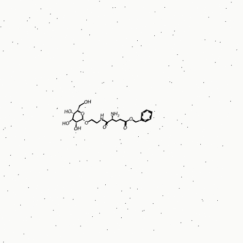 N[C@@H](CCC(=O)OCc1ccccc1)C(=O)NCCO[C@H]1O[C@H](CO)[C@@H](O)[C@H](O)[C@@H]1O